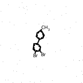 Cc1ccc(-c2ccc(Br)c(Br)c2)cc1